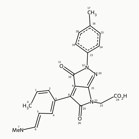 C\C=C/C(=C\C=C\NC)C1=C2C(=O)N(c3ccc(C)cc3)N=C2N(CC(=O)O)C1=O